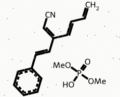 C=CC=CC(C=Cc1ccccc1)=CC#N.COP(=O)(O)OC